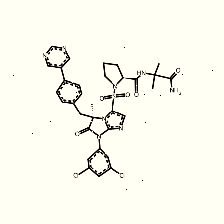 CC(C)(NC(=O)[C@@H]1CCCN1S(=O)(=O)c1cnc2n1[C@](C)(Cc1ccc(-c3cncnc3)cc1)C(=O)N2c1cc(Cl)cc(Cl)c1)C(N)=O